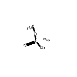 BOS(=O)O.[NaH]